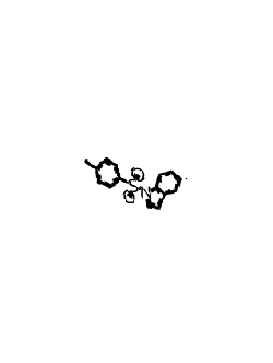 Cc1ccc(S(=O)(=O)n2ccc3c[c]ccc32)cc1